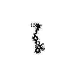 Cc1c(OCc2ccc(CCCCO[Si](C)(C)C(C)(C)C)cc2)oc2ccccc2c1=O